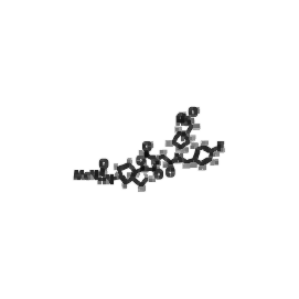 CNC(=O)Nc1ccc2c(c1)CC[C@@]21OC(=O)N(CC(=O)N(Cc2ccc(F)cc2)[C@@H]2CCN(C[SH](=O)=O)C2)C1=O